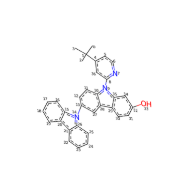 CC(C)(C)c1ccnc(-n2c3ccc(-n4c5ccccc5c5ccccc54)cc3c3ccc(O)cc32)c1